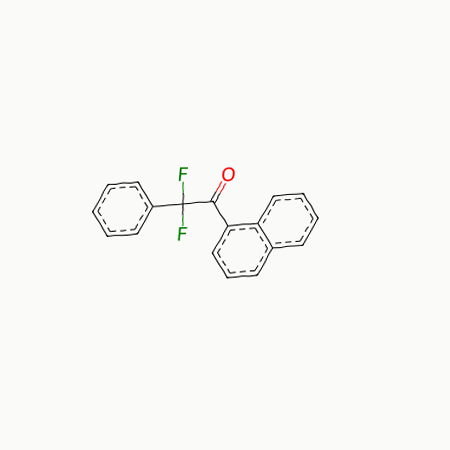 O=C(c1cccc2ccccc12)C(F)(F)c1ccccc1